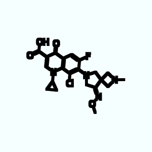 CON=C1CN(c2c(F)cc3c(=O)c(C(=O)O)cn(C4CC4)c3c2Cl)CC12CN(C)C2